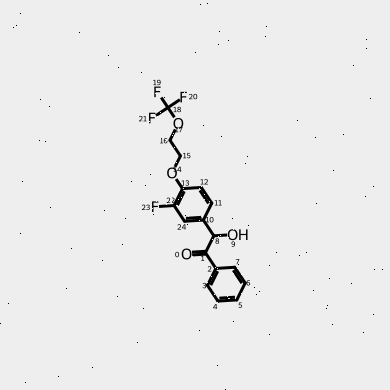 O=C(c1ccccc1)C(O)c1ccc(OCCOC(F)(F)F)c(F)c1